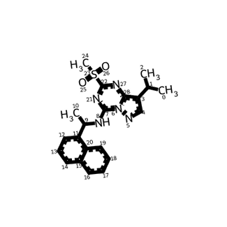 CC(C)c1cnn2c(NC(C)c3cccc4ccccc34)nc(S(C)(=O)=O)nc12